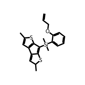 C=CCOc1ccccc1[Si](C)(C)C1=C2SC(C)C=C2c2cc(C)sc21